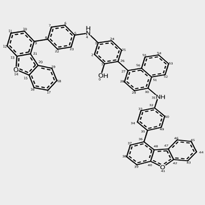 Oc1cc(Nc2ccc(-c3cccc4oc5ccccc5c34)cc2)ccc1-c1ccc(Nc2ccc(-c3cccc4oc5ccccc5c34)cc2)c2ccccc12